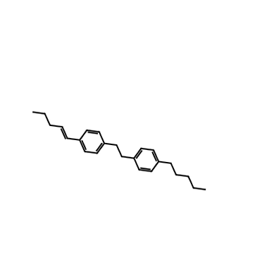 CCCC=Cc1ccc(CCc2ccc(CCCCC)cc2)cc1